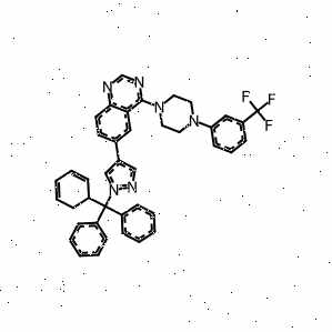 FC(F)(F)c1cccc(N2CCN(c3ncnc4ccc(-c5cnn(C(c6ccccc6)(c6ccccc6)C6C=CC=CC6)c5)cc34)CC2)c1